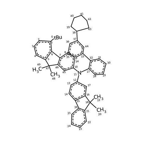 CC(C)(C)c1cccc2c1-c1ccc(N(c3ccc4c(c3)C(C)(C)c3ccccc3-4)c3ccccc3-c3cccc(C4CCCCC4)c3)cc1C2(C)C